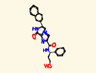 O=C(N[C@H](CCO)c1ccccc1)c1cn2cc(-c3ccc4ccccc4c3)[nH]c(=O)c2n1